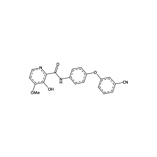 COc1ccnc(C(=O)Nc2ccc(Oc3cccc(C#N)c3)cc2)c1O